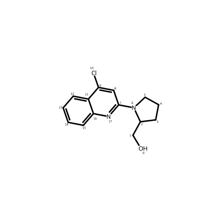 OCC1CCCN1c1cc(Cl)c2ccccc2n1